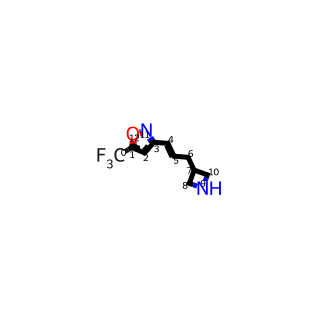 FC(F)(F)c1cc(C=CCC2CNC2)no1